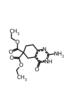 CCOC(=O)C1(C(=O)OCC)CCc2nc(N)[nH]c(=O)c2C1